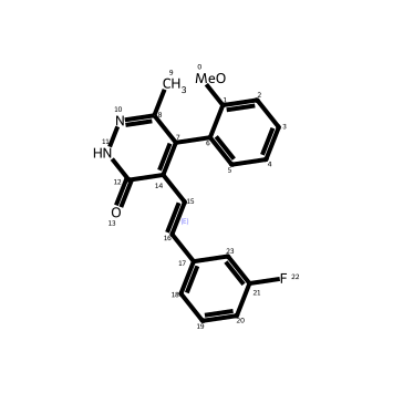 COc1ccccc1-c1c(C)n[nH]c(=O)c1/C=C/c1cccc(F)c1